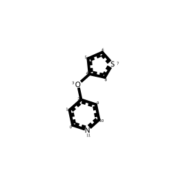 c1cc(Oc2ccsc2)ccn1